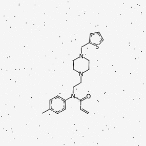 C=CC(=O)N(CCN1CCN(Cc2cccs2)CC1)c1ccc(C)cc1